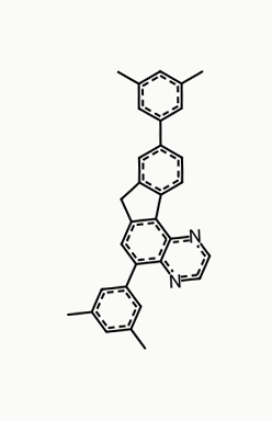 Cc1cc(C)cc(-c2ccc3c(c2)Cc2cc(-c4cc(C)cc(C)c4)c4nccnc4c2-3)c1